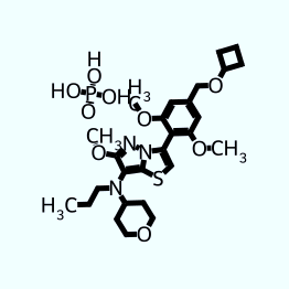 CCCN(c1c(OC)nn2c(-c3c(OC)cc(COC4CCC4)cc3OC)csc12)C1CCOCC1.O=P(O)(O)O